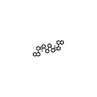 C1=Cc2c(sc3c(-c4ccccc4-c4ccccc4-c4cccc5c4sc4c(-c6cccc7ccccc67)cccc45)cccc23)C(c2cccc3ccccc23)C1